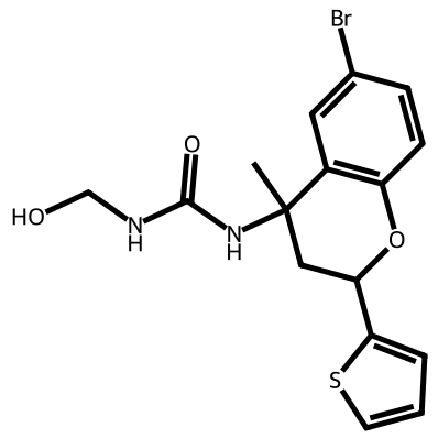 CC1(NC(=O)NCO)CC(c2cccs2)Oc2ccc(Br)cc21